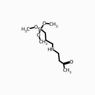 CO[Si](CCCNCCC(C)=O)(OC)OC